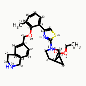 CCOC(=O)[C@@]12CCN(c3nc(-c4cccc(C)c4OCc4ccc5c(c4)CCNC5)cs3)CC1C2